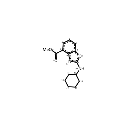 COC(=O)c1cccc2oc(NC3CCCCC3)nc12